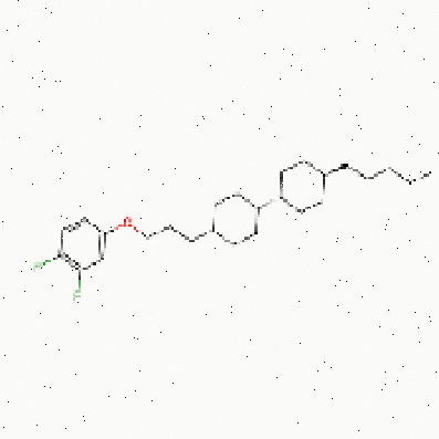 CCCCC[C@H]1CC[C@H](C2CCC(CCCOc3ccc(F)c(F)c3)CC2)CC1